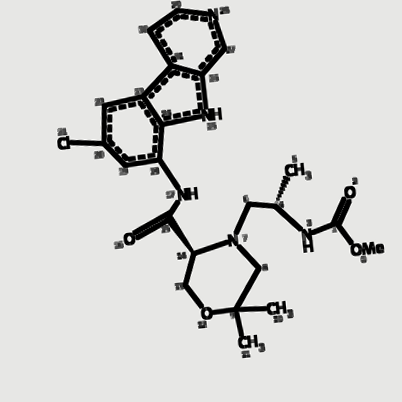 COC(=O)N[C@@H](C)CN1CC(C)(C)OC[C@H]1C(=O)Nc1cc(Cl)cc2c1[nH]c1cnccc12